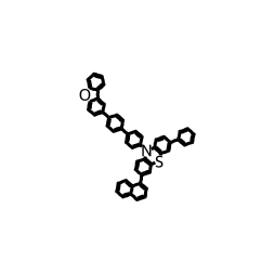 c1ccc(-c2ccc3c(c2)Sc2cc(-c4cccc5ccccc45)ccc2N3c2ccc(-c3ccc(-c4ccc5oc6ccccc6c5c4)cc3)cc2)cc1